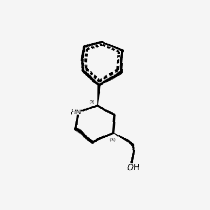 OC[C@H]1CCN[C@@H](c2ccccc2)C1